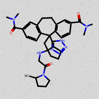 CN(C)C(=O)c1ccc2c(c1)CCc1cc(C(=O)N(C)C)ccc1C2(CC1(NCC(=O)N2CCCC2C#N)CCCC1)c1nnn[nH]1